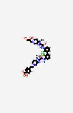 Cn1c(C(=O)Nc2cccc(-c3cccc(NC(=O)c4nc5c(n4C)CCN(CC(O)CO)C5)c3Cl)c2Cl)nc2c1CCN(CCC13CCC(C(=O)O)(CC1)C3)C2